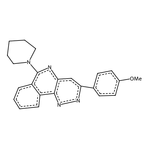 COc1ccc(-c2cc3nc(N4CCCCC4)c4ccccc4c3nn2)cc1